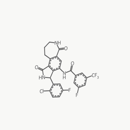 O=C(Nc1cc2c(c3c1C(c1cc(F)ccc1Cl)NC3=O)CCCNC2=O)c1cc(F)cc(C(F)(F)F)c1